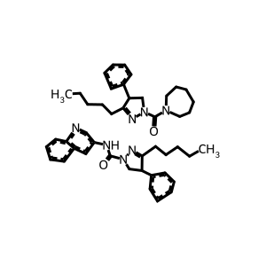 CCCCCC1=NN(C(=O)N2CCCCCC2)CC1c1ccccc1.CCCCCC1=NN(C(=O)Nc2cnc3ccccc3c2)CC1c1ccccc1